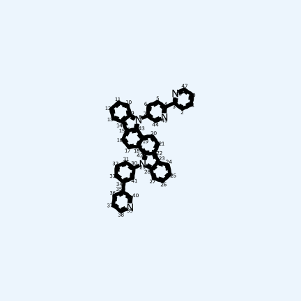 c1ccc(-c2ccc(-n3c4ccccc4c4ccc5c(ccc6c7ccccc7n(-c7cccc(-c8cccnc8)c7)c65)c43)cn2)nc1